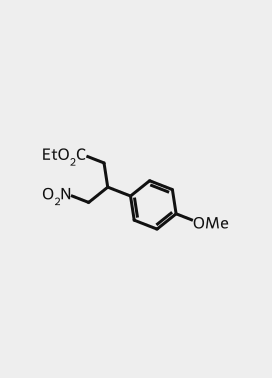 CCOC(=O)CC(C[N+](=O)[O-])c1ccc(OC)cc1